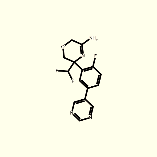 NC1=NC(c2cc(-c3cncnc3)ccc2F)(C(F)F)COC1